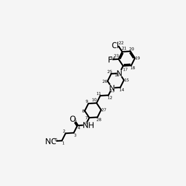 N#CCCCC(=O)NC1CCC(CCN2CCN(c3cccc(Cl)c3F)CC2)CC1